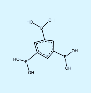 OB(O)c1cc(B(O)O)cc(B(O)O)c1